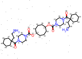 NCCC1(C(=O)N2CCN(C(=O)O[C@H]3CCC[C@H](OC(=O)N4CCN(C(=O)C5(CCN)CCCCC5)CC4)CCC3)CC2)CCCCC1